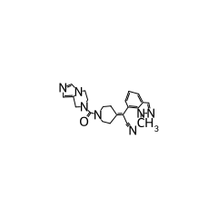 Cn1ncc2cccc(C(C#N)=C3CCN(C(=O)N4CCn5cncc5C4)CC3)c21